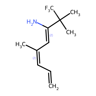 C=C/C=C(C)\C=C(/N)C(C)(C)C(F)(F)F